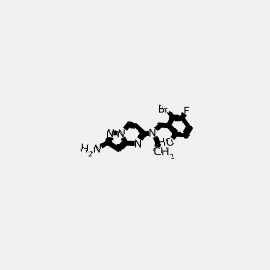 CCN(Cc1c(O)ccc(F)c1Br)c1ccn2nc(N)cc2n1